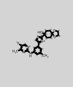 Cc1cc(Nc2ncc(F)c(C)n2)cc(-c2cnc(C3(O)CCC4(CC3)OCCO4)s2)c1